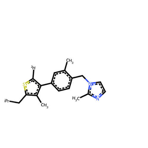 [2H]c1sc(CC(C)C)c(C)c1-c1ccc(Cn2ccnc2C)c(C)c1